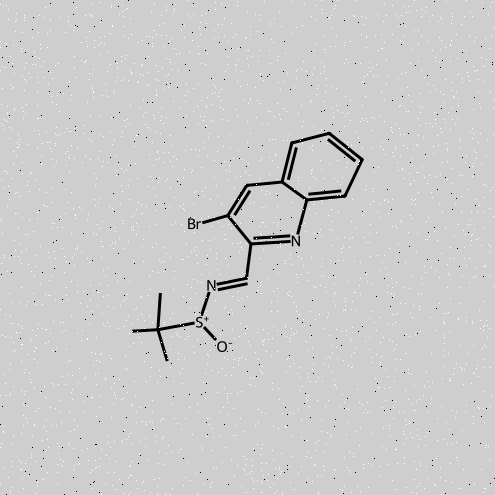 CC(C)(C)[S+]([O-])N=Cc1nc2ccccc2cc1Br